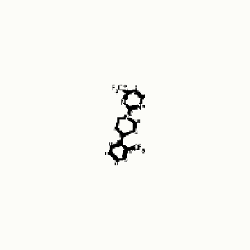 FC(F)(F)c1ccnc(N2CCC(c3ccccc3C(F)(F)F)CC2)n1